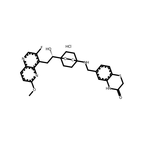 COc1ccc2ncc(F)c(C[C@H](O)C34CCC(NCc5ccc6c(c5)NC(=O)CS6)(CC3)CO4)c2n1.Cl